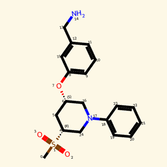 CS(=O)(=O)[C@@H]1C[C@H](Oc2cccc(CN)c2)CN(c2ccccc2)C1